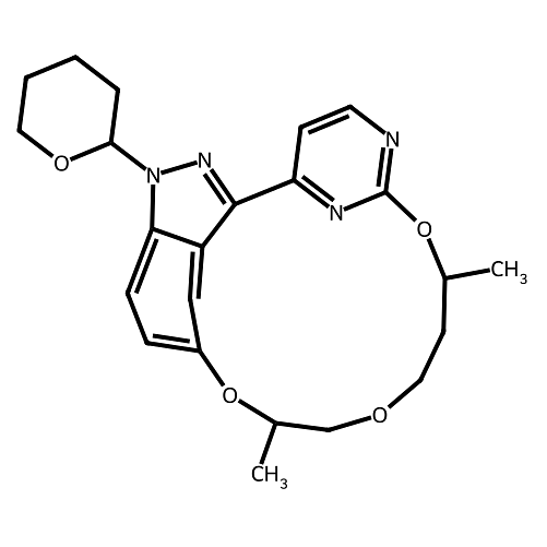 CC1COCCC(C)Oc2nccc(n2)-c2nn(C3CCCCO3)c3ccc(cc23)O1